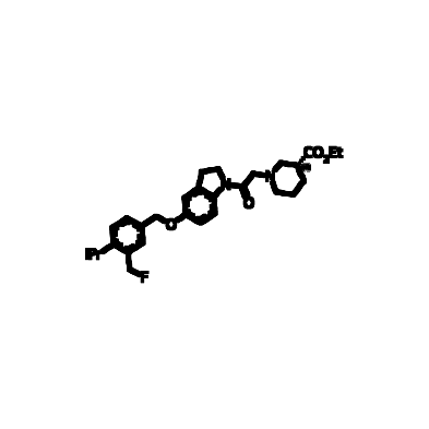 CCOC(=O)[C@@H]1CCCN(CC(=O)N2CCc3cc(OCc4ccc(C(C)C)c(CF)c4)ccc32)C1